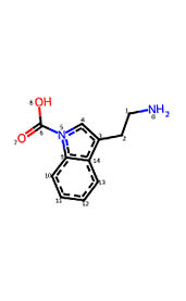 NCCc1cn(C(=O)O)c2ccccc12